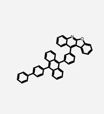 c1ccc(-c2ccc(-c3c4ccccc4c(-c4cccc(-c5c6ccccc6nc6oc7ccccc7c56)c4)c4ccccc34)cc2)cc1